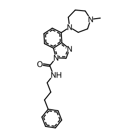 CN1CCCN(c2cccc3c2ncn3C(=O)NCCCc2ccccc2)CC1